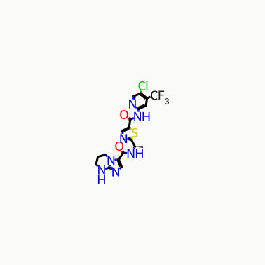 C[C@@H](NC(=O)c1cnc2n1CCCN2)c1ncc(C(=O)Nc2cc(C(F)(F)F)c(Cl)cn2)s1